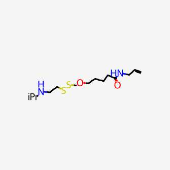 C=CCNC(=O)CCCCOCSSCCNC(C)C